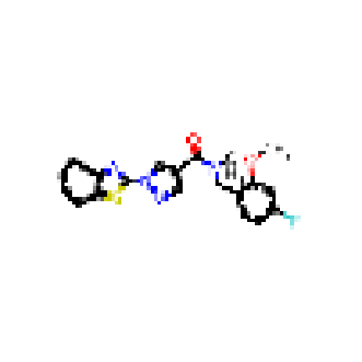 CN(Cc1ccc(F)cc1OC(F)(F)F)C(=O)c1cnn(-c2nc3ccccc3s2)c1